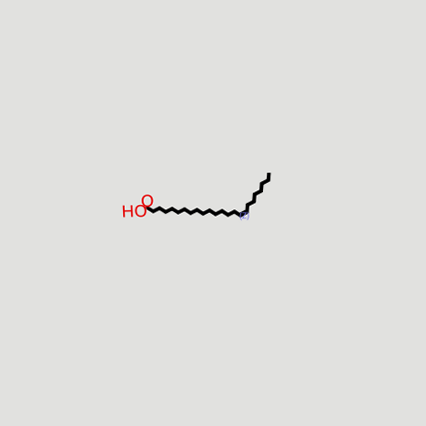 CCCCCCC/C=C\CCCCCCCCCCCCCCC(=O)O